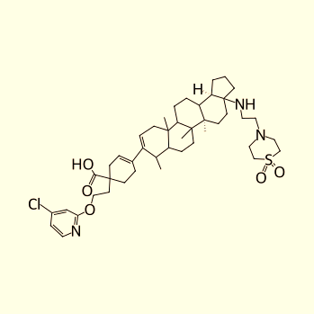 CC1C(C2=CCC(CCOc3cc(Cl)ccn3)(C(=O)O)CC2)=CCC2(C)C1CCC1(C)C2CCC2[C@H]3CCCC3(NCCN3CCS(=O)(=O)CC3)CC[C@]21C